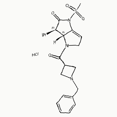 CC(C)[C@H]1C(=O)N(S(C)(=O)=O)C2=CCN(C(=O)C3CN(Cc4ccccc4)C3)[C@@H]21.Cl